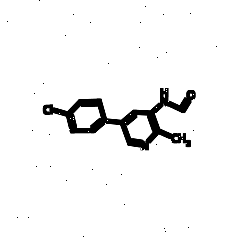 Cc1ncc(-c2ccc(Cl)cc2)cc1NC=O